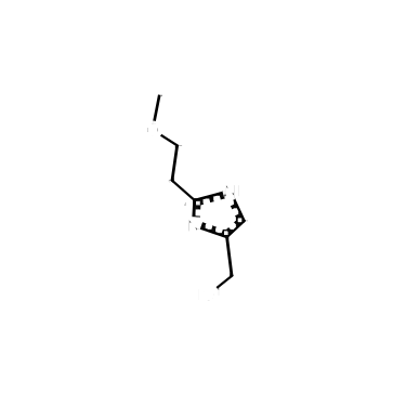 COCCc1nc(CO)c[nH]1